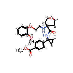 COC(=O)c1ccc(C2(NC(=O)C3(NCCOc4ccccc4OC)CCOCC3)CC2)cc1